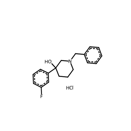 Cl.OC1(c2cccc(F)c2)CCCN(Cc2ccccc2)C1